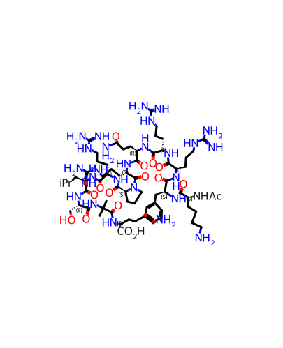 CC(=O)N[C@@H](CCCCN)C(=O)N[C@@H](Cc1ccccc1)C(=O)N[C@H](CCCNC(=N)N)C(=O)N[C@@H](CCCNC(=N)N)C(=O)N[C@H](CCC(N)=O)C(=O)N[C@@H](CCCNC(=N)N)C(=O)N1CCC[C@H]1C(=O)N[C@@H](CCCNC(=N)N)C(=O)N[C@H](CC(C)C)C(=O)N[C@@H](CO)C(=O)NC(C)(C)C(=O)N[C@@H](CCCCN)C(=O)O